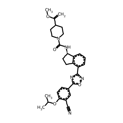 C=C(OC)C1CCN(C(=O)N[C@@H]2CCc3c(-c4noc(-c5ccc(OC(C)C)c(C#N)c5)n4)cccc32)CC1